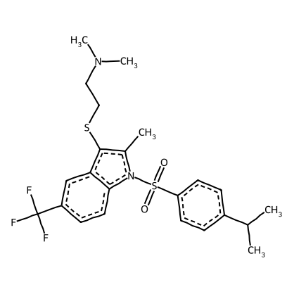 Cc1c(SCCN(C)C)c2cc(C(F)(F)F)ccc2n1S(=O)(=O)c1ccc(C(C)C)cc1